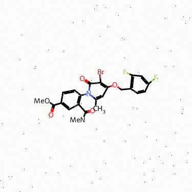 CNC(=O)c1cc(C(=O)OC)ccc1-n1c(C)cc(OCc2ccc(F)cc2F)c(Br)c1=O